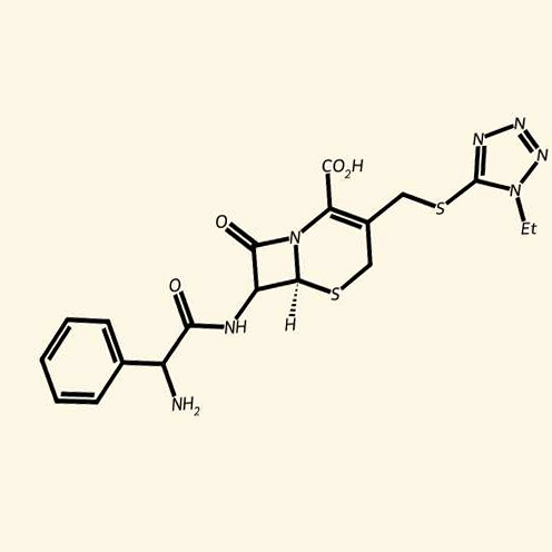 CCn1nnnc1SCC1=C(C(=O)O)N2C(=O)C(NC(=O)C(N)c3ccccc3)[C@@H]2SC1